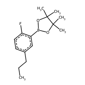 CCCc1ccc(F)c(B2OC(C)(C)C(C)(C)O2)c1